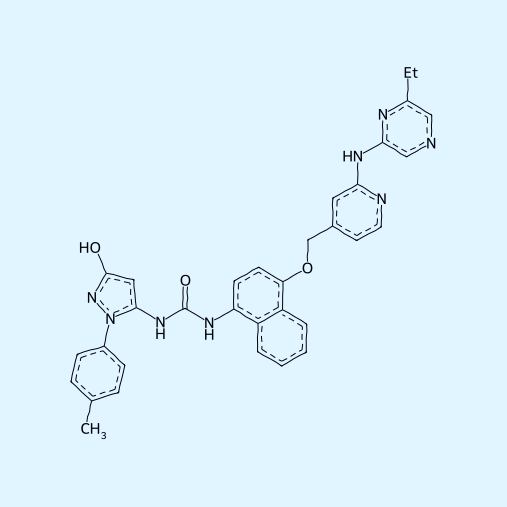 CCc1cncc(Nc2cc(COc3ccc(NC(=O)Nc4cc(O)nn4-c4ccc(C)cc4)c4ccccc34)ccn2)n1